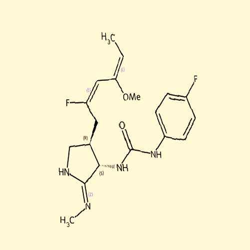 C/C=C(\C=C(\F)C[C@@H]1CN/C(=N\C)[C@H]1NC(=O)Nc1ccc(F)cc1)OC